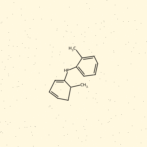 Cc1ccccc1PC1=CC=CCC1C